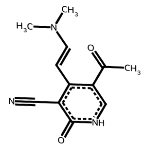 CC(=O)c1c[nH]c(=O)c(C#N)c1C=CN(C)C